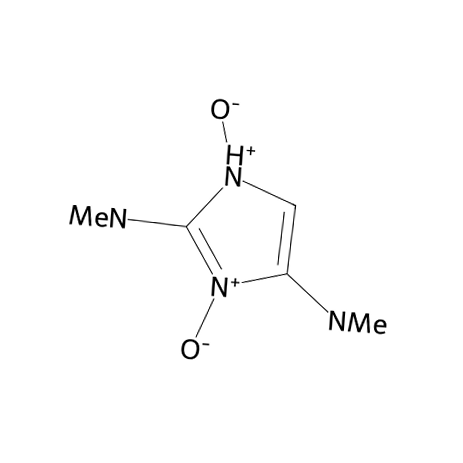 CNC1=C[NH+]([O-])C(NC)=[N+]1[O-]